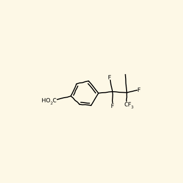 CC(F)(C(F)(F)F)C(F)(F)c1ccc(C(=O)O)cc1